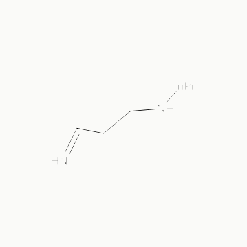 CCCNCCC=N